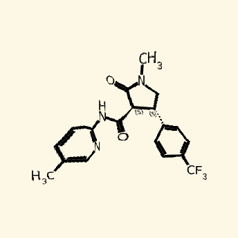 Cc1ccc(NC(=O)[C@H]2C(=O)N(C)C[C@@H]2c2ccc(C(F)(F)F)cc2)nc1